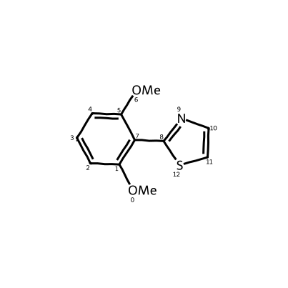 COc1c[c]cc(OC)c1-c1nccs1